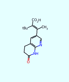 CC(=C(C(=O)O)C(C)(C)C)c1cnc2c(c1)CCC(=O)N2